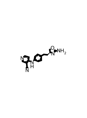 N#Cc1cnccc1Nc1ccc(CC[C@H]2COC(N)=N2)cc1